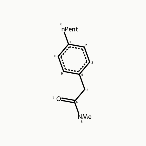 CCCCCc1ccc(CC(=O)NC)cc1